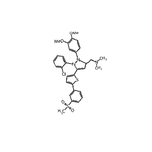 COc1ccc(N2C(CN(C)C)C=C(c3ccc(-c4cccc(S(C)(=O)=O)c4)s3)N2c2ccccc2Cl)cc1OC